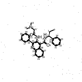 CC[C@H](NC(=O)c1c(NC(=O)CN(C)C)c(-c2ccccc2)nc2ccccc12)c1ccccc1